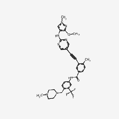 COc1nn(C)cc1Nc1ncc(C#Cc2cc(C(=O)Nc3ccc(CN4CCN(C)CC4)c(C(F)(F)F)c3)ccc2C)cn1